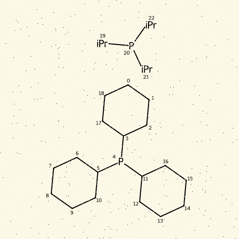 C1CCC(P(C2CCCCC2)C2CCCCC2)CC1.CC(C)P(C(C)C)C(C)C